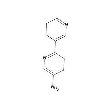 NC1=CN=C(C2=CN=CCC2)CC1